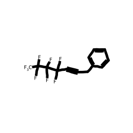 FC(F)(F)C(F)(F)C(F)(F)C(F)(F)C#CCc1ccccc1